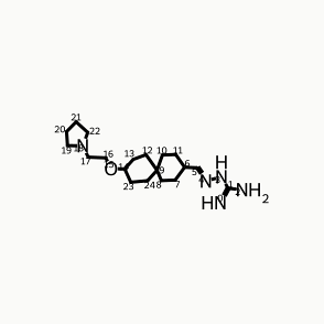 N=C(N)N/N=C/C1CCC2(CC1)CCC(OCCN1CCCC1)CC2